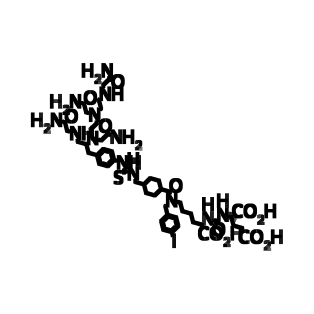 NC(=O)CNCCN(CCN(CC(N)=O)C(CNCC(N)=O)Cc1ccc(NC(=S)NCC2CCC(C(=O)N(CCCCC(NC(=O)N[C@H](CCC(=O)O)C(=O)O)C(=O)O)Cc3ccc(I)cc3)CC2)cc1)CC(N)=O